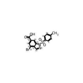 Cc1ccc(S(=O)(=O)n2ncc3c(Br)cc(C(=O)O)cc32)cc1